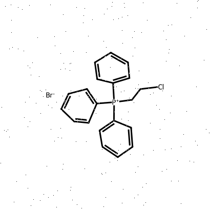 ClCC[P+](c1ccccc1)(c1ccccc1)c1ccccc1.[Br-]